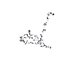 CCN1/C(=C/C=C/C=C/C2=[N+](CCCCCC(=O)O)c3ccc(S(=O)(=O)O)cc3C2(C)CCOCCOCCOCCOCCOC)C(C)(CCCS(=O)(=O)O)c2cc(S(=O)(=O)[O-])ccc21